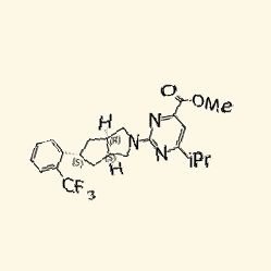 COC(=O)c1cc(C(C)C)nc(N2C[C@H]3C[C@H](c4ccccc4C(F)(F)F)C[C@H]3C2)n1